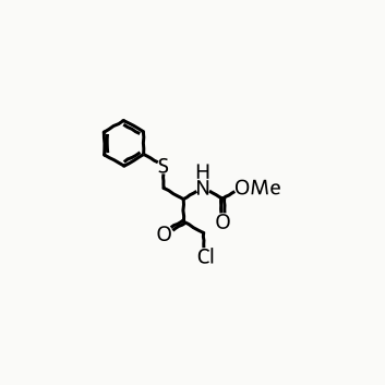 COC(=O)NC(CSc1ccccc1)C(=O)CCl